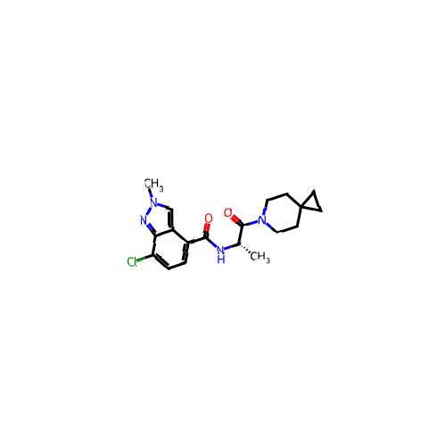 C[C@H](NC(=O)c1ccc(Cl)c2nn(C)cc12)C(=O)N1CCC2(CC1)CC2